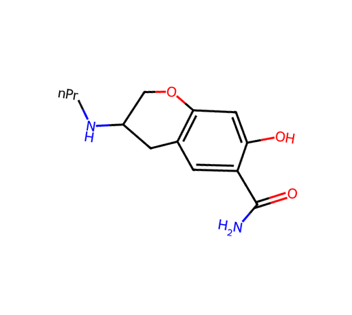 CCCNC1COc2cc(O)c(C(N)=O)cc2C1